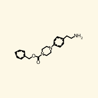 NCCc1ccc(N2CCN(C(=O)OCc3ccccc3)CC2)cc1